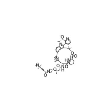 CCn1c(-c2cccnc2[C@H](C)OC)c2c3cc(ccc31)-c1csc(n1)C[C@H](NC(=O)C[C@@H](C)OC1CN(C(=O)C#CC(C)(C)N(C)C)C1)C(=O)N1CCC[C@H](N1)C(=O)OCC(C)(C)C2